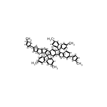 Cc1ccc(C2(c3ccc(C)cc3)c3cc4c(cc3-c3sc5cc(-c6ccc(C)s6)ccc5c32)C(c2ccc(C)cc2)(c2ccc(C)cc2)c2c-4sc3c2sc2cc(-c4ccc(C)s4)sc23)cc1